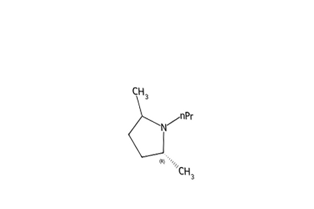 CCCN1C(C)CC[C@H]1C